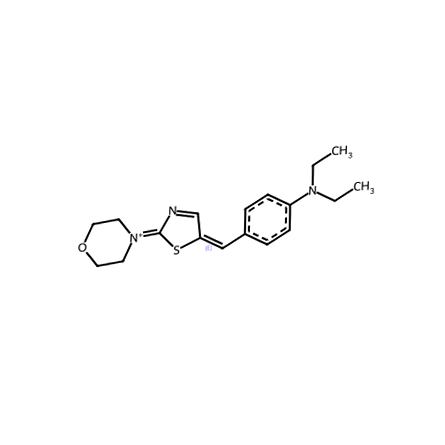 CCN(CC)c1ccc(/C=C2\C=NC(=[N+]3CCOCC3)S2)cc1